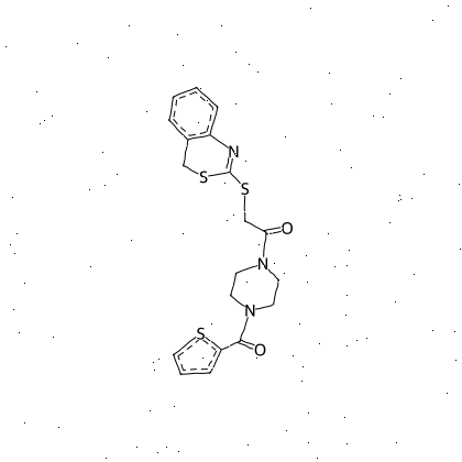 O=C(CSC1=Nc2ccccc2CS1)N1CCN(C(=O)c2cccs2)CC1